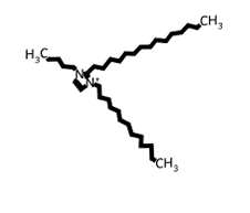 CCCCCCCCCCCCCCCc1n(CCCCC)cc[n+]1CCCCCCCCCCCCC